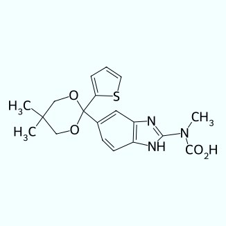 CN(C(=O)O)c1nc2cc(C3(c4cccs4)OCC(C)(C)CO3)ccc2[nH]1